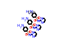 Nc1ccc(S(=O)(=O)[N-]c2ncccn2)cc1.Nc1ccc(S(=O)(=O)[N-]c2ncccn2)cc1.Nc1ccc(S(=O)(=O)[N-]c2ncccn2)cc1.[Ce+3]